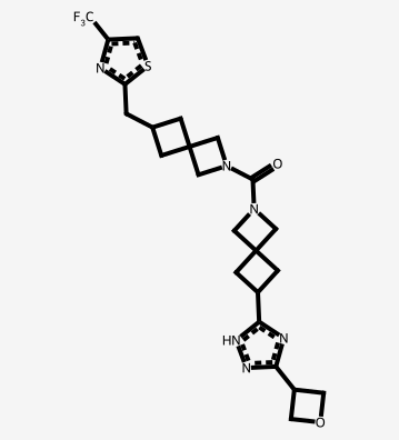 O=C(N1CC2(CC(Cc3nc(C(F)(F)F)cs3)C2)C1)N1CC2(CC(c3nc(C4COC4)n[nH]3)C2)C1